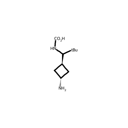 CC(C)(C)C(NC(=O)O)[C@H]1C[C@H](N)C1